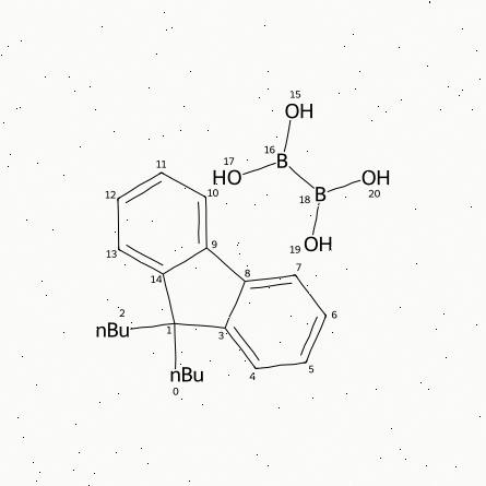 CCCCC1(CCCC)c2ccccc2-c2ccccc21.OB(O)B(O)O